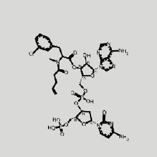 C=CCCC(=O)N(C)C(Cc1cccc(Cl)c1)C(=O)O[C@H]1[C@@H](O)[C@H](n2cnc3c(N)ncnc32)O[C@@H]1COP(=O)(O)O[C@H]1C[C@H](n2ccc(N)nc2=O)O[C@@H]1COP(=O)(O)O